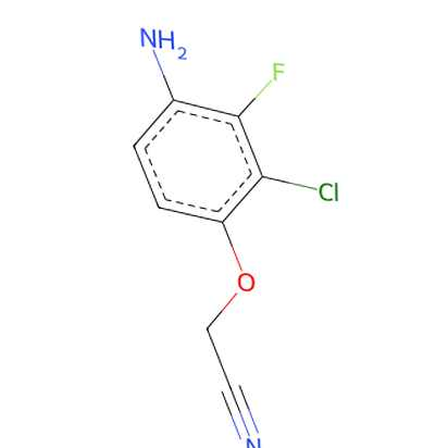 N#CCOc1ccc(N)c(F)c1Cl